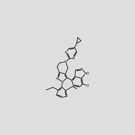 CCc1cccc(CC)c1-n1nc2c(c1-c1ccc(Cl)c3[nH]ncc13)CN(c1ncc(C3CC3)cn1)CC2